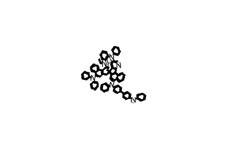 C=C(NCC)c1c(CC2(C)c3cc(N(c4ccccc4)c4ccccc4)cnc3-c3c2cc(N(c2ccccc2)c2ccc(-c4ccc(N(C)c5ccccc5)cc4)cc2)c2ccccc32)cc(N(c2ccccc2)c2ccccc2)c2ccccc12